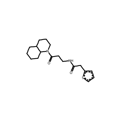 O=C(Cc1cccs1)NCCC(=O)N1CCCC2CCCCC21